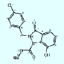 CC(C)(C)NC(=O)C1c2c(O)cccc2C(=O)N1Cc1ccc(Cl)cc1